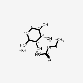 CCOC(=S)S.OC1OC[C@@H](O)[C@H](O)[C@H]1O.[KH]